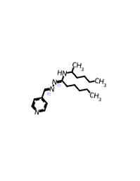 CCCCC/C(=N\N=C\c1ccncc1)NC(C)CCCC